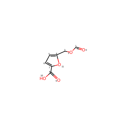 O=COCc1ccc(C(=O)O)o1